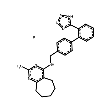 FC(F)(F)c1nc2c(c(NCc3ccc(-c4ccccc4-c4nnn[nH]4)cc3)n1)CCCCC2.[K]